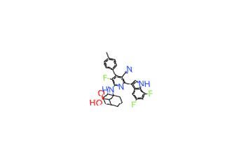 Cc1ccc(-c2c(F)c(NC34CCCC(CCC3)C4C(=O)O)nc(-c3c[nH]c4c(F)cc(F)cc34)c2C#N)cc1